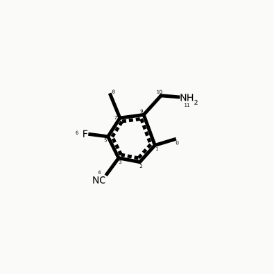 Cc1cc(C#N)c(F)c(C)c1CN